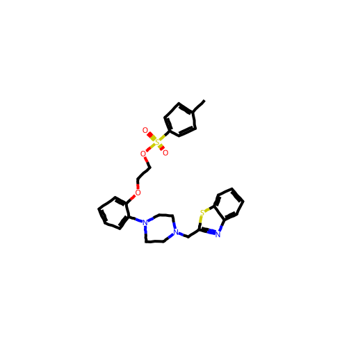 Cc1ccc(S(=O)(=O)OCCOc2ccccc2N2CCN(Cc3nc4ccccc4s3)CC2)cc1